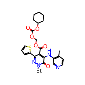 CCn1nc(-c2cccs2)c(C(=O)OCOC(=O)OC2CCCCC2)c(Nc2cnccc2C)c1=O